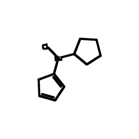 [Cl][Ru]([C]1=CC=CC1)[CH]1CCCC1